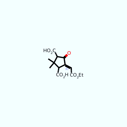 CCOC(=O)/C=C1/C(=O)C(C(=O)O)C(C)(C)C1C(=O)O